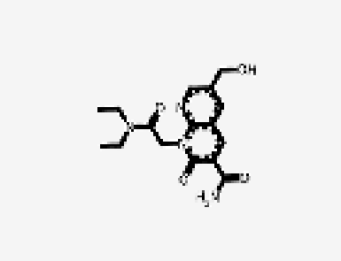 CCN(CC)C(=O)Cn1c(=O)c(C(N)=O)cc2cc(CO)cnc21